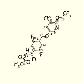 CS(=O)(=O)NC(=O)c1cc(F)c(COc2cnc(OCC(F)(F)F)c(Cl)c2)cc1F